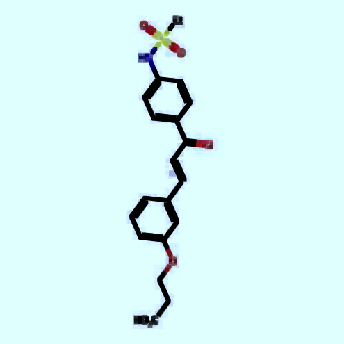 CCS(=O)(=O)Nc1ccc(C(=O)/C=C/c2cccc(OCCC(=O)O)c2)cc1